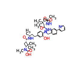 COC(=O)N[C@H](C(=O)NN(Cc1ccc(-c2ccccn2)cc1)c1ccc(CCC(C)NC(=O)[C@H]2C[C@@H](N(C)C(=O)O)C2(C)C)cc1O)C(C)(C)C